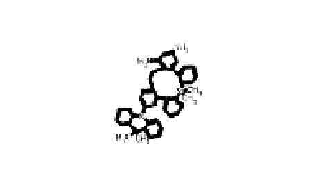 CC1(C)c2ccccc2N(c2ccc3c(c2)-c2ccccc2[Si](C)(C)c2ccccc2-c2cc(N)cc(N)c2CC3)c2ccccc21